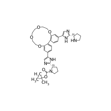 CC(C)(C)OC(=O)N1CCC[C@H]1c1ncc(-c2ccc3c(c2)OCCOCCOCCOc2cc(-c4cnc([C@@H]5CCCN5)[nH]4)ccc2-3)[nH]1